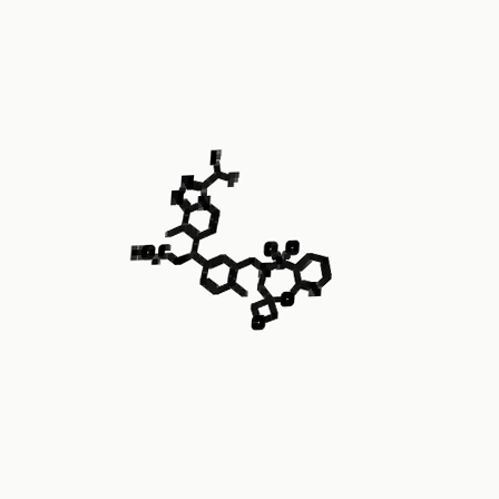 Cc1ccc([C@@H](CC(=O)O)c2ccn3c(C(F)F)nnc3c2C)cc1CN1CC2(COC2)Oc2ncccc2S1(=O)=O